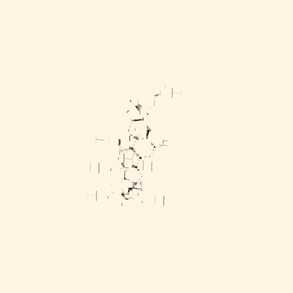 C=CCn1ncc2c1C=C1[C@@H](F)C[C@@H]3[C@H]([C@@H](O)C[C@@]4(C)[C@H]3C[C@H]3OC(C)(C)O[C@]34C(=O)CO)[C@@]1(C)C2